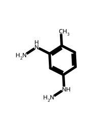 Cc1ccc(NN)cc1NN